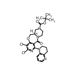 CC(C)(C)OC(=O)N1CCN2C(=O)c3c(N4CCCc5ncccc54)nc(Cl)c(Cl)c3OC[C@H]2C1